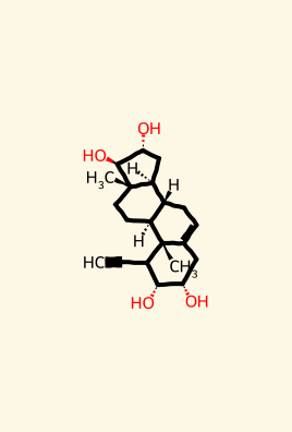 C#CC1[C@@H](O)[C@@H](O)CC2=CC[C@H]3[C@@H]4C[C@@H](O)[C@H](O)[C@@]4(C)CC[C@@H]3[C@]21C